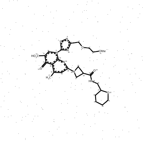 COCCOCc1nsc(-n2cc(C(=O)O)c(=O)c3c(C)cc(N4CC(C(=O)NCC5CCCCO5)C4)nc32)n1